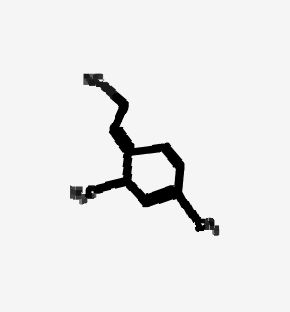 CC1=CC(C)/C(=C/CC#N)CC1